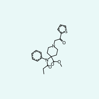 CCC(=O)N(c1ccccc1)C1(C(=O)OC)CCN(CC(=O)c2cccs2)CC1